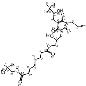 C=CCn1c(=O)n(CC(O)COC(=O)CCSSCCC(=O)OCC(C)(CC)CC)c(=O)n(CC(O)C(C)(C)CC)c1=O